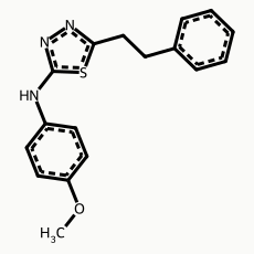 COc1ccc(Nc2nnc(CCc3ccccc3)s2)cc1